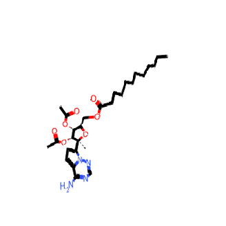 CCCCCCCCCCCC(=O)OC[C@H]1O[C@@](C)(c2ccc3c(N)ncnn23)[C@H](OC(C)=O)[C@@H]1OC(C)=O